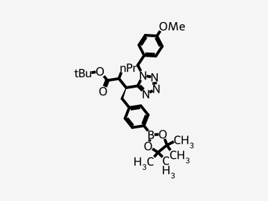 CCCC(C(=O)OC(C)(C)C)[C@H](Cc1ccc(B2OC(C)(C)C(C)(C)O2)cc1)c1nnnn1Cc1ccc(OC)cc1